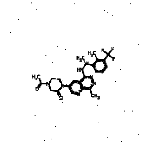 CC(=O)N1CCN(c2cnc3c(C)nnc(N[C@H](C)c4cccc(C(F)(F)F)c4C)c3c2)C(=O)C1